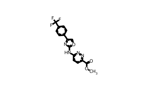 COC(=O)c1ccc(Nc2nc(-c3ccc(C(F)(F)F)cc3)co2)nn1